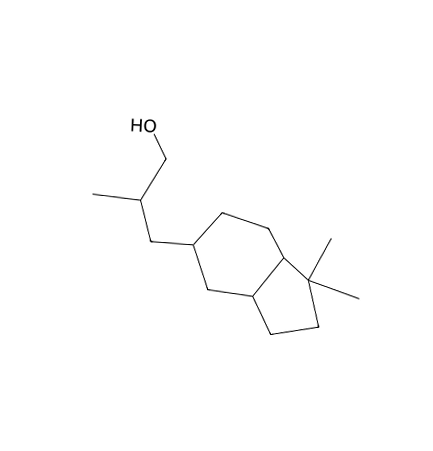 CC(CO)CC1CCC2C(CCC2(C)C)C1